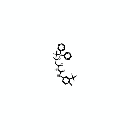 CC(CC(=O)NC(=S)Nc1ccc(F)c(C(F)(F)F)c1)O[Si](c1ccccc1)(c1ccccc1)C(C)(C)C